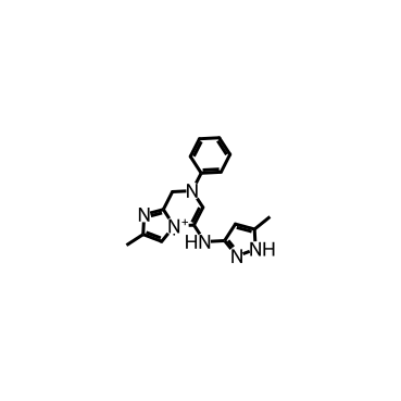 CC1=C[N+]2C(Nc3cc(C)[nH]n3)=CN(c3ccccc3)CC2=N1